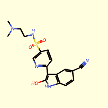 CN(C)CCNS(=O)(=O)c1ccc(-c2c(O)[nH]c3ccc(C#N)cc23)nc1